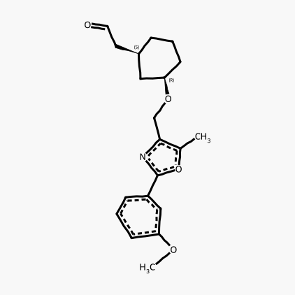 COc1cccc(-c2nc(CO[C@@H]3CCC[C@H](CC=O)C3)c(C)o2)c1